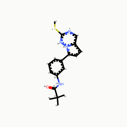 CSc1ncc2ccc(-c3cccc(NC(=O)C(C)(C)C)c3)n2n1